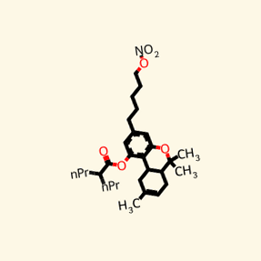 CCCC(CCC)C(=O)Oc1cc(CCCCCO[N+](=O)[O-])cc2c1C1CC(C)=CCC1C(C)(C)O2